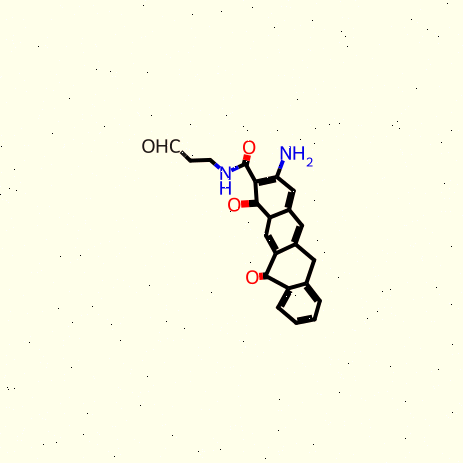 NC1=C(C(=O)NCCC=O)C(=O)C2C=C3C(=O)c4ccccc4CC3=CC2=C1